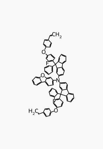 C=Cc1ccc(Oc2ccc(C3(c4ccccc4F)c4ccccc4-c4ccc(N(c5ccc6c(c5)C(c5ccc(Oc7ccc(C=C)cc7)cc5)(c5ccccc5F)c5ccccc5-6)c5ccc6c(c5)oc5ccccc56)cc43)cc2)cc1